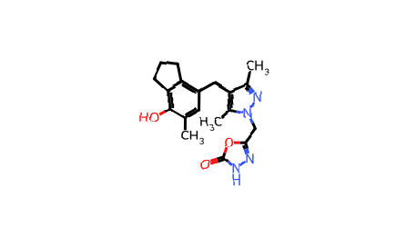 Cc1cc(Cc2c(C)nn(Cc3n[nH]c(=O)o3)c2C)c2c(c1O)CCC2